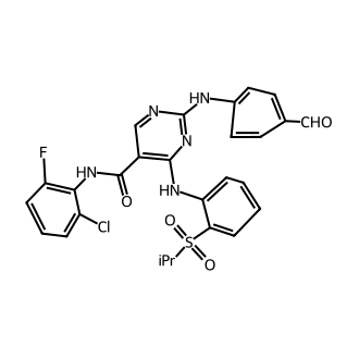 CC(C)S(=O)(=O)c1ccccc1Nc1nc(Nc2ccc(C=O)cc2)ncc1C(=O)Nc1c(F)cccc1Cl